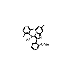 COc1ccccc1-c1nc2cc(C)ccn2c1N(C(C)=O)c1c(C)cccc1C